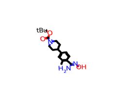 Cc1cc(C2CCN(C(=O)OC(C)(C)C)CC2)ccc1/C(N)=N/O